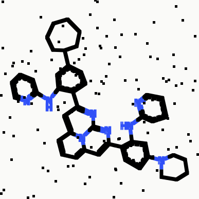 C1=CC2=CC(c3ccc(C4CCCCCC4)cc3Nc3ccccn3)=NC3=NC(c4ccc(N5CCCCC5)cc4Nc4ccccn4)=CC(=C1)N23